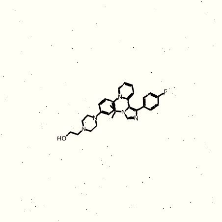 CC(C)n1cnc(-c2ccc(F)cc2)c1C1=CC=CCN1c1ccc(N2CCN(CCO)CC2)cc1